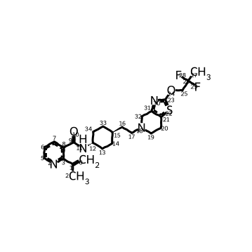 C=C(C)c1ncccc1C(=O)N[C@H]1CC[C@H](CCN2CCc3sc(OCC(C)(F)F)nc3C2)CC1